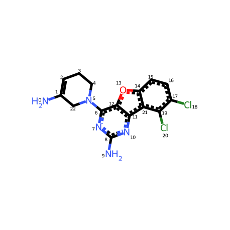 NC1=CCCN(c2nc(N)nc3c2oc2ccc(Cl)c(Cl)c23)C1